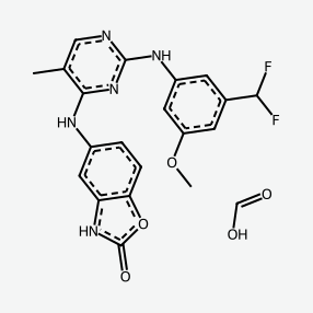 COc1cc(Nc2ncc(C)c(Nc3ccc4oc(=O)[nH]c4c3)n2)cc(C(F)F)c1.O=CO